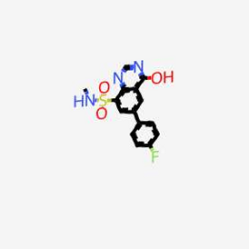 CNS(=O)(=O)c1cc(-c2ccc(F)cc2)cc2c(O)ncnc12